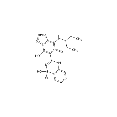 CCC(CC)Nn1c(=O)c(C2=NS(O)(O)c3ccccc3N2)c(O)c2sccc21